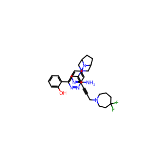 Nc1nnc(-c2ccccc2O)cc1N1CC2CCC(C1)N2c1ccnc(C#CCN2CCCC(F)(F)CC2)c1